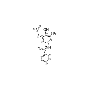 CC(C)c1cc(NC(=O)c2ccccc2)cc(CC2CC2)c1O